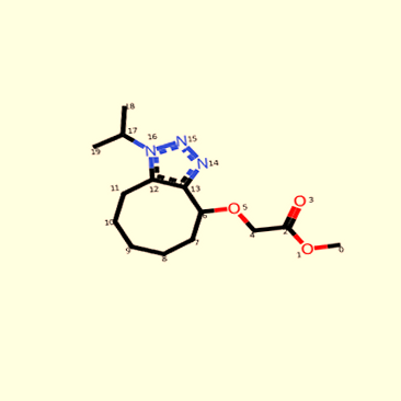 COC(=O)COC1CCCCCc2c1nnn2C(C)C